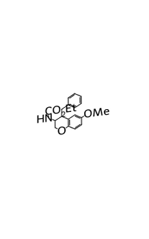 CCOC(=O)NC1COc2ccc(OC)cc2C1Cc1ccccc1